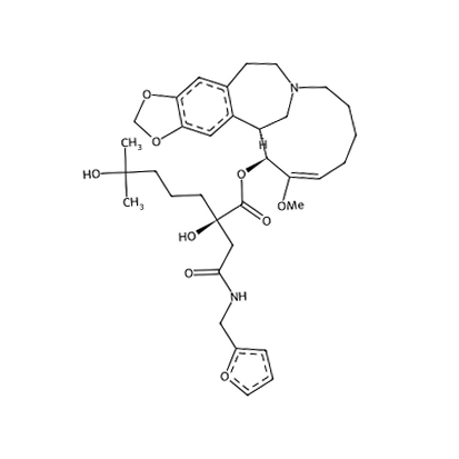 CO/C1=C/CCCCN2CCc3cc4c(cc3[C@@H](C2)[C@@H]1OC(=O)[C@@](O)(CCCC(C)(C)O)CC(=O)NCc1ccco1)OCO4